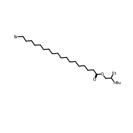 CCCCC(CC)COC(=O)CCCCCCCCCCCCCCCCCBr